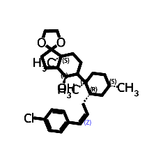 C[C@H]1CC[C@](C)(C2CC[C@@]3(C)C(CCC34OCCO4)[C@@H]2O)[C@@H](C/C=C\c2ccc(Cl)cc2)C1